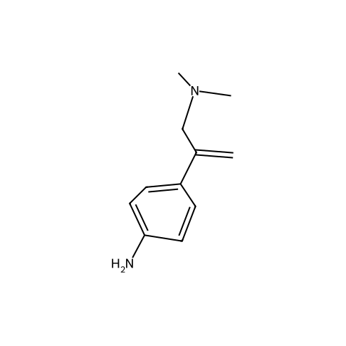 C=C(CN(C)C)c1ccc(N)cc1